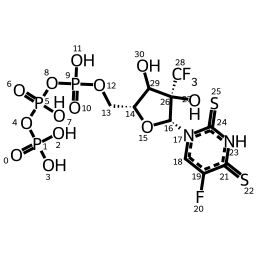 O=P(O)(O)OP(=O)(O)OP(=O)(O)OC[C@H]1O[C@@H](n2cc(F)c(=S)[nH]c2=S)[C@@](O)(C(F)(F)F)C1O